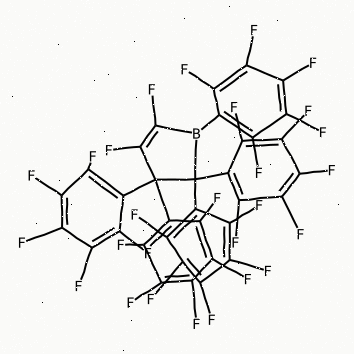 FC1=C(F)C(c2c(F)c(F)c(F)c(F)c2F)(c2c(F)c(F)c(F)c(F)c2F)C(c2c(F)c(F)c(F)c(F)c2F)(c2c(F)c(F)c(F)c(F)c2F)B1c1c(F)c(F)c(F)c(F)c1F